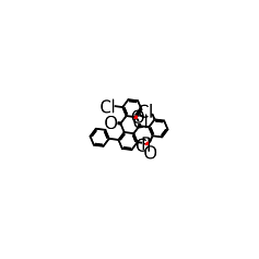 O=Pc1ccc(-c2ccccc2)c(C(=O)c2c(Cl)cccc2Cl)c1C(=O)c1c(Cl)cccc1Cl